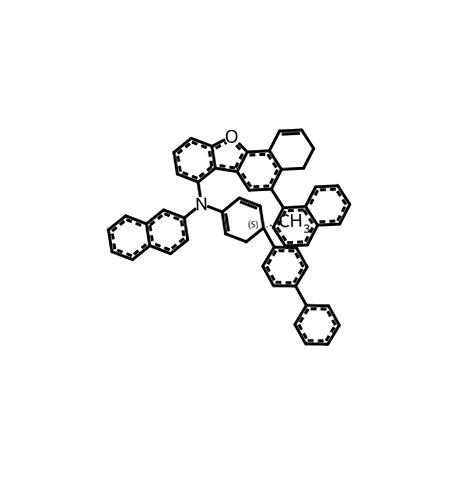 C[C@@]1(c2ccc(-c3ccccc3)cc2)C=CC(N(c2ccc3ccccc3c2)c2cccc3oc4c5c(c(-c6cccc7ccccc67)cc4c23)CCC=C5)=CC1